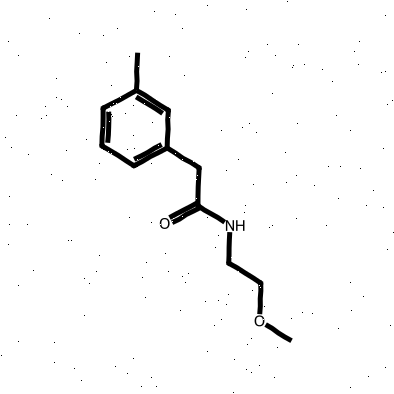 COCCNC(=O)Cc1cccc(C)c1